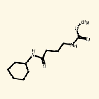 CC(C)(C)OC(=O)NCCCC(=O)NC1CCCCC1